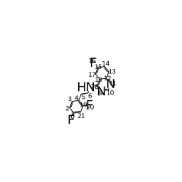 Fc1ccc(CCNc2ncnc3ccc(F)cc23)c(F)c1